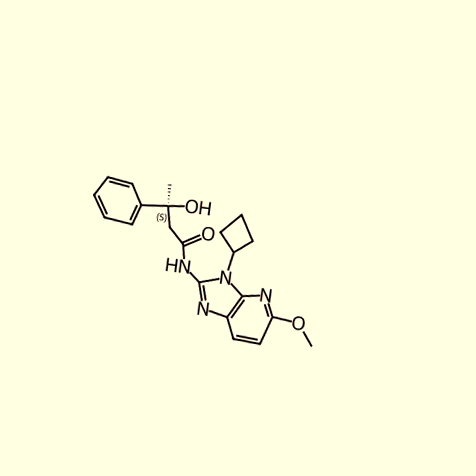 COc1ccc2nc(NC(=O)C[C@](C)(O)c3ccccc3)n(C3CCC3)c2n1